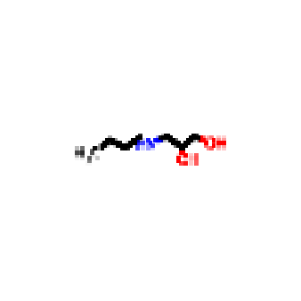 CCCCNCC(O)CO